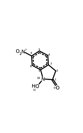 O=C1Cc2ccc([N+](=O)[O-])cc2N1O